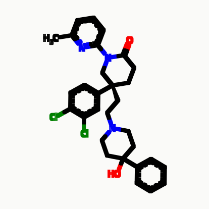 Cc1cccc(N2C[C@@](CCN3CCC(O)(c4ccccc4)CC3)(c3ccc(Cl)c(Cl)c3)CCC2=O)n1